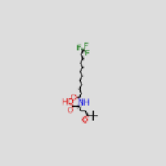 CC(C)(C)C(=O)CC[C@H](NC(=O)CCCCCCCCCCC(F)(F)F)C(=O)O